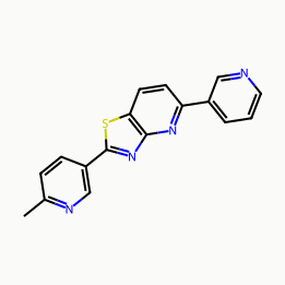 Cc1ccc(-c2nc3nc(-c4cccnc4)ccc3s2)cn1